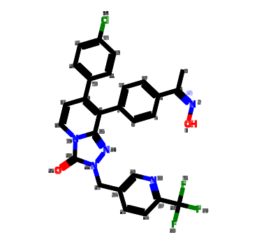 C/C(=N/O)c1ccc(-c2c(-c3ccc(Cl)cc3)ccn3c(=O)n(Cc4ccc(C(F)(F)F)nc4)nc23)cc1